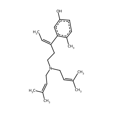 C/C=C(/CCN(CC=C(C)C)CC=C(C)C)c1cc(O)ccc1C